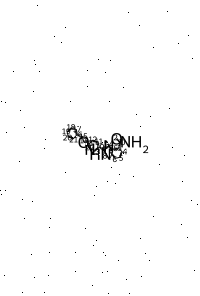 NC(=O)c1cccc2[nH]c(-c3ccc(OCc4ccccc4)nc3)nc12